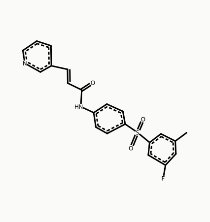 Cc1cc(F)cc(S(=O)(=O)c2ccc(NC(=O)/C=C/c3cccnc3)cc2)c1